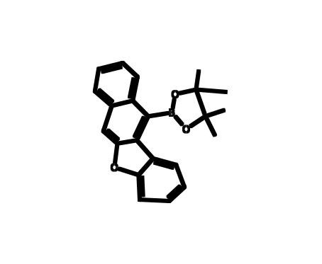 CC1(C)OB(c2c3ccccc3cc3oc4ccccc4c23)OC1(C)C